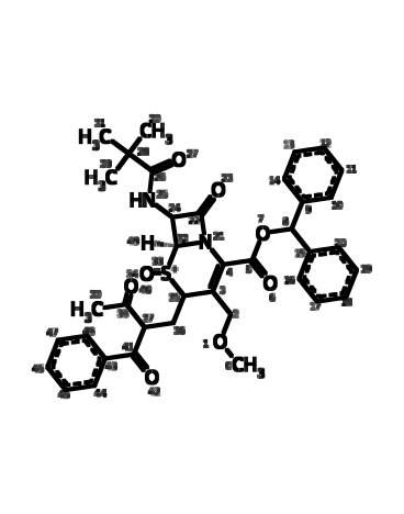 COCC1=C(C(=O)OC(c2ccccc2)c2ccccc2)N2C(=O)C(NC(=O)C(C)(C)C)[C@@H]2[S+]([O-])C1CC(C(C)=O)C(=O)c1ccccc1